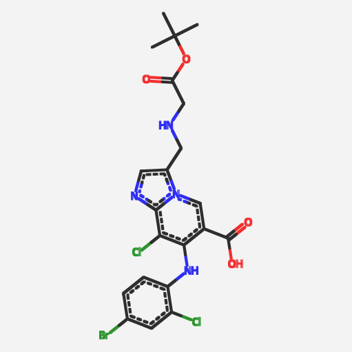 CC(C)(C)OC(=O)CNCc1cnc2c(Cl)c(Nc3ccc(Br)cc3Cl)c(C(=O)O)cn12